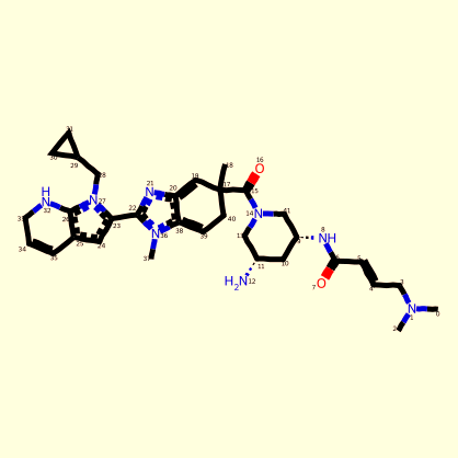 CN(C)C/C=C/C(=O)N[C@@H]1C[C@H](N)CN(C(=O)C2(C)C=c3nc(-c4cc5c(n4CC4CC4)NCC=C5)n(C)c3=CC2)C1